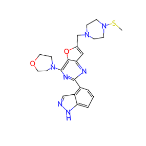 CSN1CCN(Cc2cc3nc(-c4cccc5[nH]ncc45)nc(N4CCOCC4)c3o2)CC1